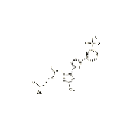 CN(C)CCOC(=O)Cn1nc(C(F)(F)F)cc1-c1ccc(-c2cccc(S(C)(=O)=O)c2)s1